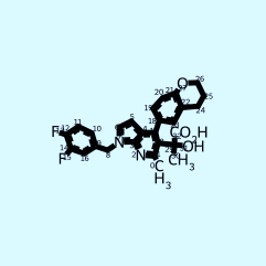 Cc1nc2c(ccn2Cc2ccc(F)c(F)c2)c(-c2ccc3c(c2)CCCO3)c1C(C)(O)C(=O)O